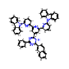 c1ccc(C2=NC(c3ccc4ccccc4c3)NC(c3cc(-c4cccc(-n5c6ccccc6c6ccccc65)n4)nc(-c4cccc(-n5c6ccccc6c6ccccc65)n4)c3)=N2)cc1